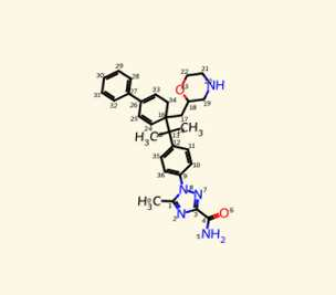 Cc1nc(C(N)=O)nn1-c1ccc(C(C)(C)C2(CC3CNCCO3)C=CC(c3ccccc3)=CC2)cc1